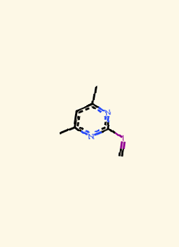 C=Ic1nc(C)cc(C)n1